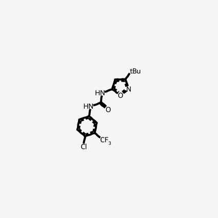 CC(C)(C)c1cc(NC(=O)Nc2ccc(Cl)c(C(F)(F)F)c2)on1